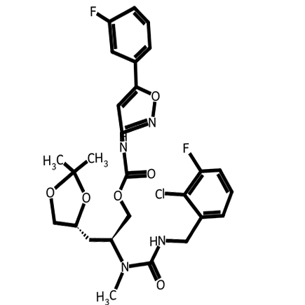 CN(C(=O)NCc1cccc(F)c1Cl)[C@H](COC(=O)Nc1cc(-c2cccc(F)c2)on1)C[C@@H]1COC(C)(C)O1